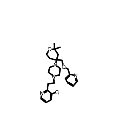 CC1(C)CC(COCc2ccccn2)(N2CCN(CCc3ncccc3Cl)CC2)CCO1